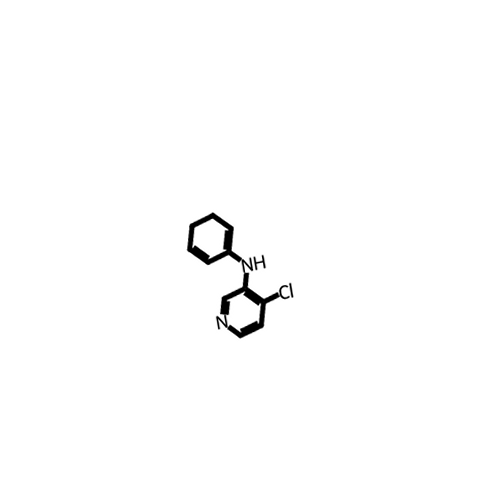 Clc1ccncc1NC1=CCCC=C1